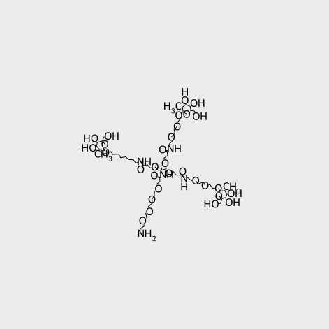 CC1C(OCCCCCCCCNC(=O)CCOCC(COCCC(=O)NCCOCCOCCOC2OC(CO)C(O)C(O)C2C)(COCCC(=O)NCCOCCOCCOC2OC(CO)C(O)C(O)C2C)NC(=O)CCOCCOCCOCCOCCN)OC(CO)C(O)C1O